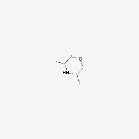 CC1[CH]OCC(C)N1